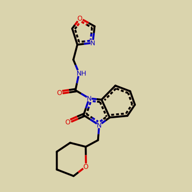 O=C(NCc1cocn1)n1c(=O)n(CC2CCCCO2)c2ccccc21